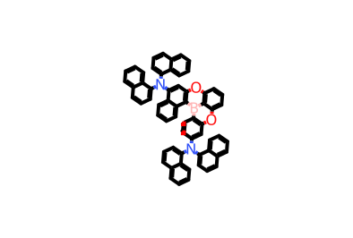 c1cc2c3c(c1)Oc1cc(N(c4cccc5ccccc45)c4cccc5ccccc45)c4ccccc4c1B3c1c(cc(N(c3cccc4ccccc34)c3cccc4ccccc34)c3ccccc13)O2